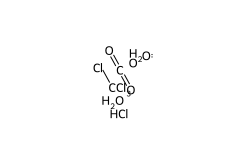 Cl.ClC(Cl)(Cl)Cl.O.O.O=C=O.[O]